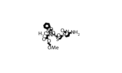 COCCOC(=O)[C@H](C)N[P@](=O)(OC[C@@H]1O[C@H](n2ccc(N)nc2=O)CS1)Oc1ccccc1